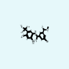 COC(=O)c1cc(F)cc(C(=S)Nc2cc(C(F)(F)F)c(Cl)cc2Br)c1